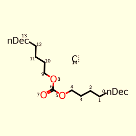 CCCCCCCCCCCCCCOC(=O)OCCCCCCCCCCCCCC.[C]